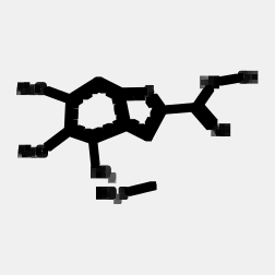 COc1cc2sc(C(=N)NO)cc2c([N+](=O)[O-])c1OC.CS(=O)(=O)O